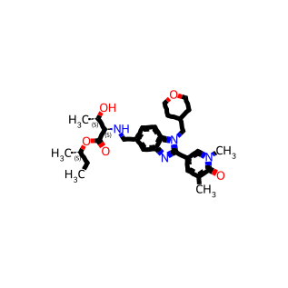 CC[C@H](C)OC(=O)[C@@H](NCc1ccc2c(c1)nc(-c1cc(C)c(=O)n(C)c1)n2CC1CCOCC1)[C@H](C)O